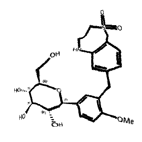 COc1ccc([C@@H]2O[C@H](CO)[C@@H](O)[C@H](O)[C@H]2O)cc1Cc1ccc2c(c1)NCCS2(=O)=O